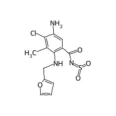 Cc1c(Cl)c(N)cc(C(=O)N=S(=O)=O)c1NCc1ccco1